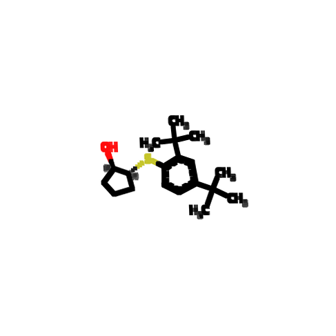 CC(C)(C)c1ccc(S[C@@H]2CCC[C@H]2O)c(C(C)(C)C)c1